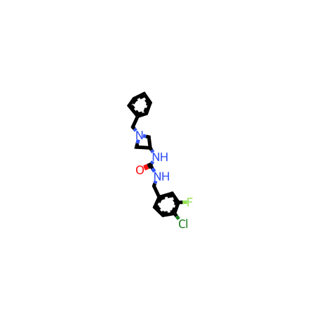 O=C(NCc1ccc(Cl)c(F)c1)NC1CN(Cc2ccccc2)C1